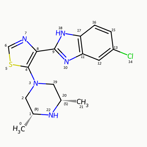 C[C@@H]1CN(c2scnc2-c2nc3cc(Cl)ccc3[nH]2)C[C@H](C)N1